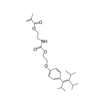 C=C(C)C(=O)OCCNC(=O)OCCOc1ccc(C(=C(C(C)C)C(C)C)C(C)C)cc1